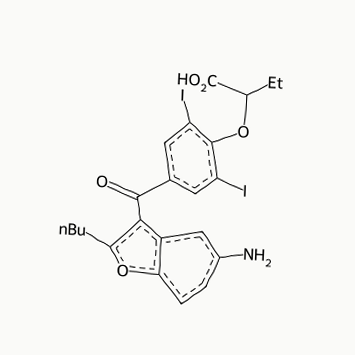 CCCCc1oc2ccc(N)cc2c1C(=O)c1cc(I)c(OC(CC)C(=O)O)c(I)c1